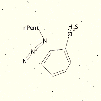 CCCCCN=[N+]=[N-].Clc1ccccc1.S